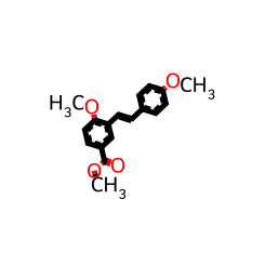 COC(=O)c1ccc(OC)c(C=Cc2ccc(OC)cc2)c1